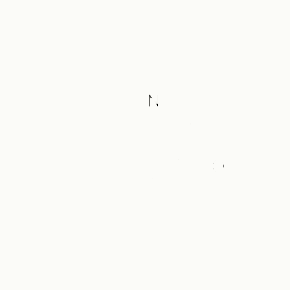 COc1ccc(C(C)C)nc1